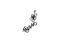 O=C(c1ccc2c(c1)CCCN2S(=O)(=O)c1cccc(F)c1)N1CC(N2CCN(C(=O)c3nccs3)CC2)C1